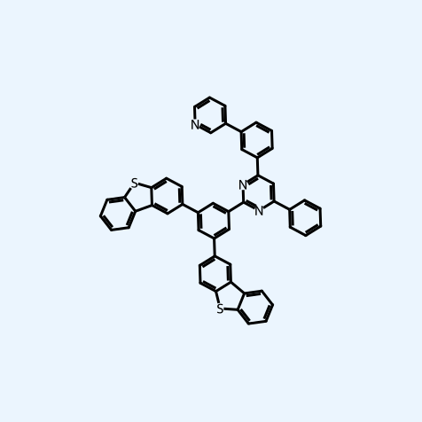 c1ccc(-c2cc(-c3cccc(-c4cccnc4)c3)nc(-c3cc(-c4ccc5sc6ccccc6c5c4)cc(-c4ccc5sc6ccccc6c5c4)c3)n2)cc1